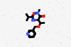 CNC(=O)C(NC(=O)C(C)C)C(C)OCc1cccnc1